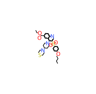 CCCCOc1ccc(S(=O)(=O)c2cnc3ccc(C(=O)OCC)cc3c2N2CCC(N3CCSCC3)CC2)cc1